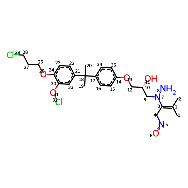 CC(C)=C(CN=O)N(N)C[C@@H](O)COc1ccc(C(C)(C)c2ccc(OCCCCl)c(OCl)c2)cc1